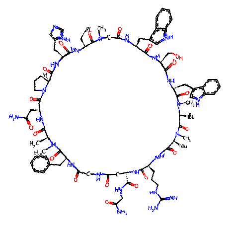 CCCC[C@H]1C(=O)N(C)[C@@H](CCCC)C(=O)N[C@@H](CCCNC(=N)N)C(=O)N[C@H](C(=O)NCC(N)=O)CC(=O)NCC(=O)N[C@@H](Cc2ccccc2)C(=O)N(C)[C@@H](C)C(=O)N[C@@H](CC(N)=O)C(=O)N2CCC[C@H]2C(=O)N[C@@H](Cc2cnc[nH]2)C(=O)N[C@@H](CC(C)C)C(=O)N(C)CC(=O)N[C@@H](Cc2c[nH]c3ccccc23)C(=O)N[C@@H](CO)C(=O)N[C@@H](Cc2c[nH]c3ccccc23)C(=O)N1C